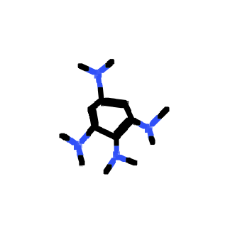 CN(C)c1[c]c(N(C)C)c(N(C)C)c(N(C)C)c1